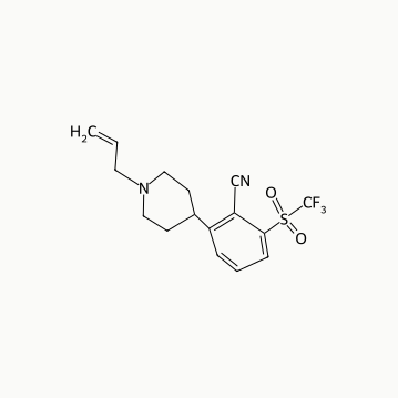 C=CCN1CCC(c2cccc(S(=O)(=O)C(F)(F)F)c2C#N)CC1